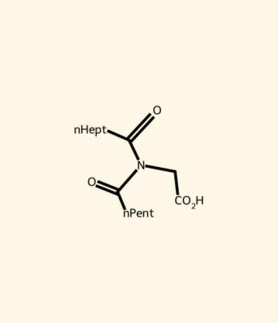 CCCCCCCC(=O)N(CC(=O)O)C(=O)CCCCC